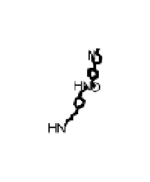 Cc1ccc(-c2ccc(C(=O)NCCc3ccc(CCCCC=N)cc3)cc2)cn1